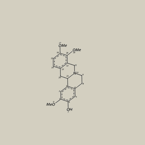 COc1cc2c(cc1O)CCN1Cc3c(ccc(OC)c3OC)CC21